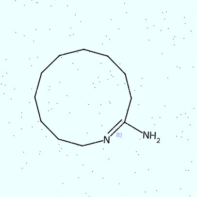 N/C1=N/CCCCCCCCCC1